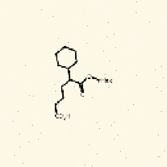 CCCCCCOC(=O)C(CCCC(=O)O)C1CCCCC1